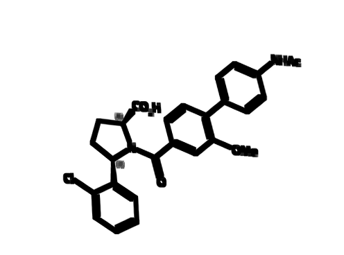 COc1cc(C(=O)N2[C@@H](c3ccccc3Cl)CC[C@H]2C(=O)O)ccc1-c1ccc(NC(C)=O)cc1